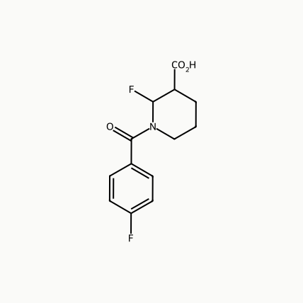 O=C(O)C1CCCN(C(=O)c2ccc(F)cc2)C1F